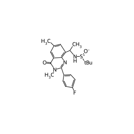 Cc1cc(C(C)N[S+]([O-])C(C)(C)C)c2nc(-c3ccc(F)cc3)n(C)c(=O)c2c1